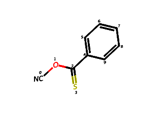 N#COC(=S)c1ccccc1